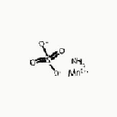 N.O=S(=O)([O-])[O-].[Mn+2]